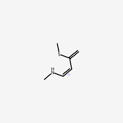 C=C(/C=C\NC)SC